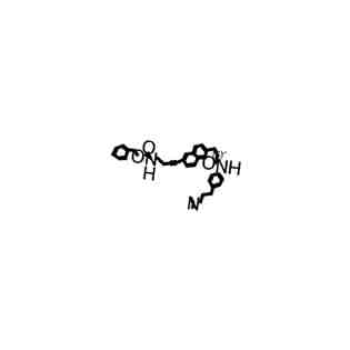 C[C@@H](Cc1ccc2cc(C#CCCNC(=O)OCc3ccccc3)ccc2c1)C(=O)Nc1ccc(CCCN(C)C)cc1